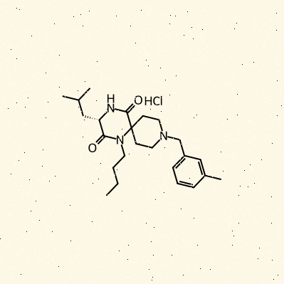 CCCCN1C(=O)[C@H](CC(C)C)NC(=O)C12CCN(Cc1cccc(C)c1)CC2.Cl